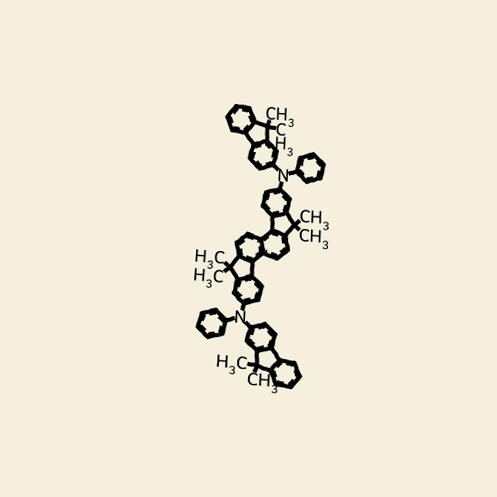 CC1(C)c2ccccc2-c2ccc(N(c3ccccc3)c3ccc4c(c3)C(C)(C)c3ccc5c6c(ccc5c3-4)C(C)(C)c3cc(N(c4ccccc4)c4ccc5c(c4)C(C)(C)c4ccccc4-5)ccc3-6)cc21